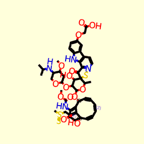 COC(=O)NC1=C2/C(=C\CS(C)=S)[C@](O)(C#C/C=C\C#C[C@@H]2OC2OC(C)C(SC)(C(=O)c3nccc4c3[nH]c3ccc(OCC(=O)O)cc34)C(O)C2OC2CC(OC)C(NC(C)C)CO2)CC1=O